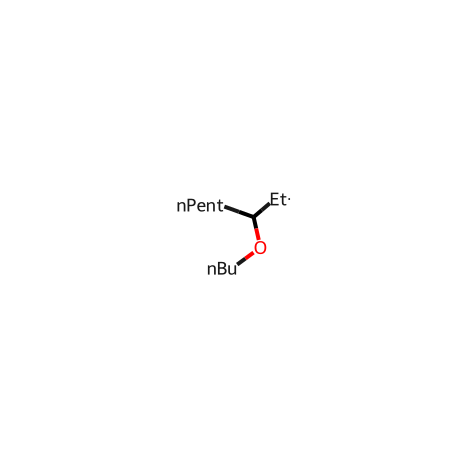 C[CH]C(CCCCC)OCCCC